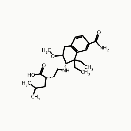 CCC1(CC)c2cc(C(N)=O)ccc2C[C@H](OC)[C@H]1NCC[C@H](CC(C)C)C(=O)O